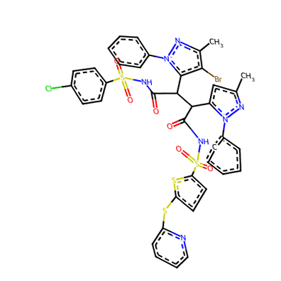 Cc1cc(C(C(=O)NS(=O)(=O)c2ccc(Sc3ccccn3)s2)C(C(=O)NS(=O)(=O)c2ccc(Cl)cc2)c2c(Br)c(C)nn2-c2ccccc2)n(-c2ccccc2)n1